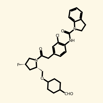 O=CC1CCC(OC[C@@H]2C[C@H](F)CN2C(=O)Cc2ccc(NC(=O)N3CCc4ccccc43)c(Cl)c2)CC1